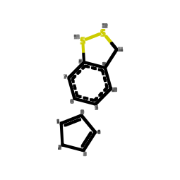 C1=CCC=C1.c1ccc2c(c1)CSS2